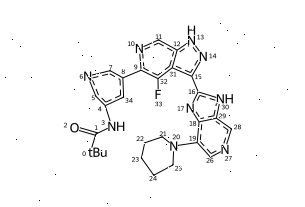 CC(C)(C)C(=O)Nc1cncc(-c2ncc3[nH]nc(-c4nc5c(N6CCCCC6)cncc5[nH]4)c3c2F)c1